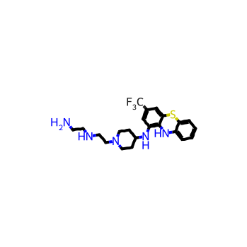 NCCNCCN1CCC(Nc2cc(C(F)(F)F)cc3c2Nc2ccccc2S3)CC1